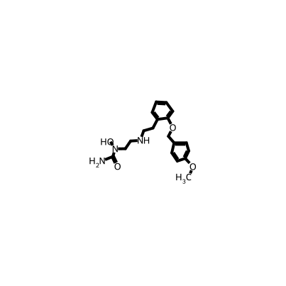 COc1ccc(COc2ccccc2CCNCCN(O)C(N)=O)cc1